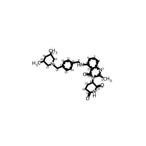 Cc1nc2cccc(NCc3ccc(CN4CC(C)CC(C)C4)cc3)c2c(=O)n1C1CCC(=O)NC1=O